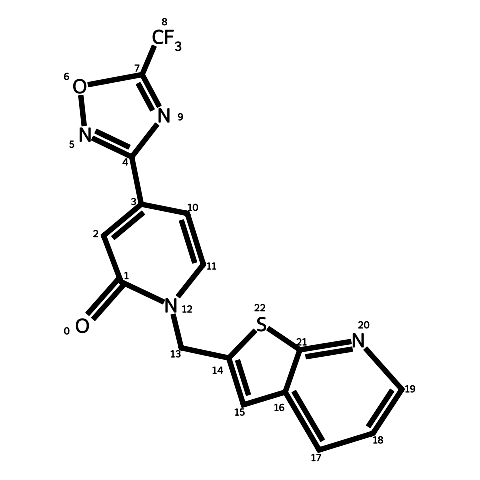 O=c1cc(-c2noc(C(F)(F)F)n2)ccn1Cc1cc2cccnc2s1